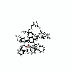 CC(C)=CCCC1(C)C=Cc2c(c(CC=C(C)C)c3c(c2OP(=O)(O)OP(=O)(O)OP(=O)(O)O)C(=O)C2C(N4CCOCC4)C4CC5C(C)(C)OC(C/C=C(/C)C(=O)Oc6ccccc6Cl)(C4=O)C25O3)O1